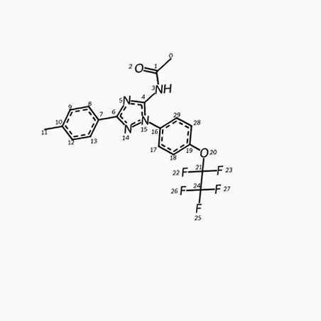 CC(=O)Nc1nc(-c2ccc(C)cc2)nn1-c1ccc(OC(F)(F)C(F)(F)F)cc1